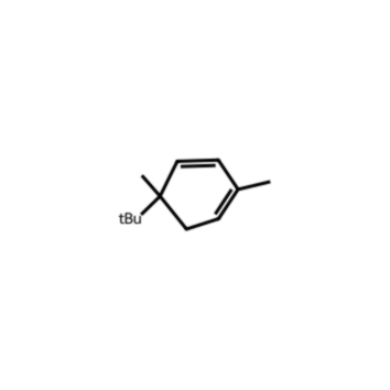 CC1=CCC(C)(C(C)(C)C)C=C1